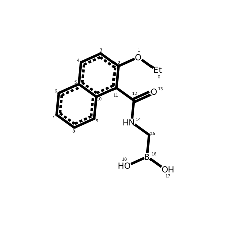 CCOc1ccc2ccccc2c1C(=O)NCB(O)O